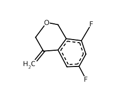 C=C1COCc2c(F)cc(F)cc21